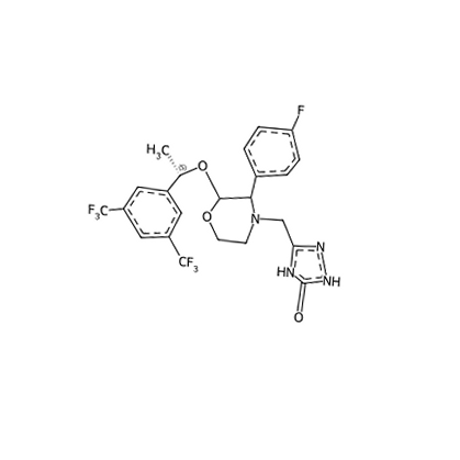 C[C@H](OC1OCCN(Cc2n[nH]c(=O)[nH]2)C1c1ccc(F)cc1)c1cc(C(F)(F)F)cc(C(F)(F)F)c1